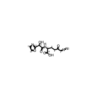 [N-]=[N+]=CC(=O)CCC(NC(=O)C(O)c1ncco1)C(=O)O